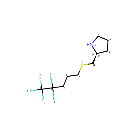 FC(F)(F)C(F)(F)CCCSC[C@@H]1CCCN1